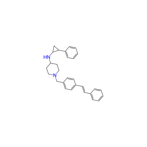 C(=Cc1ccc(CN2CCC(NC3CC3c3ccccc3)CC2)cc1)c1ccccc1